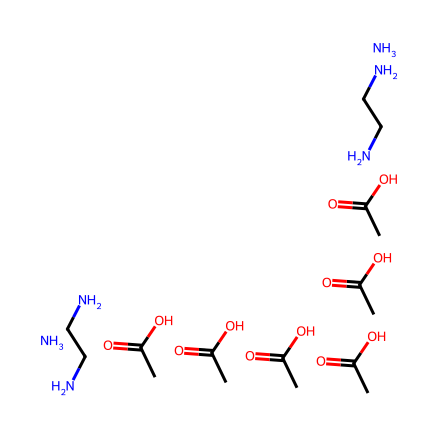 CC(=O)O.CC(=O)O.CC(=O)O.CC(=O)O.CC(=O)O.CC(=O)O.N.N.NCCN.NCCN